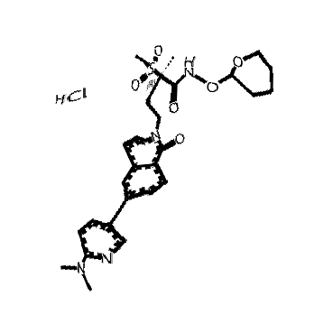 CN(C)c1ccc(-c2ccc3c(=O)n(CC[C@](C)(C(=O)NOC4CCCCO4)S(C)(=O)=O)ccc3c2)cn1.Cl